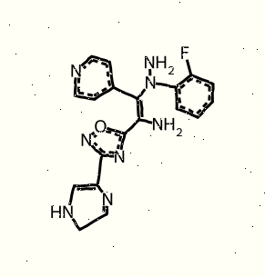 N/C(=C(/c1ccncc1)N(N)c1ccccc1F)c1nc(C2=CNCC=N2)no1